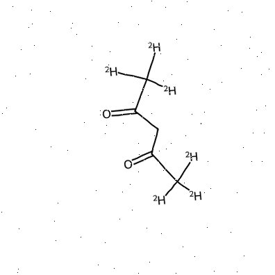 [2H]C([2H])([2H])C(=O)CC(=O)C([2H])([2H])[2H]